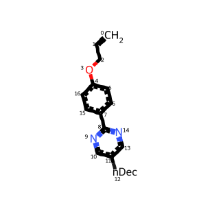 C=CCOc1ccc(-c2ncc(CCCCCCCCCC)cn2)cc1